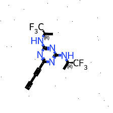 C#CC#Cc1nc(N[C@H](C)C(F)(F)F)nc(N[C@H](C)C(F)(F)F)n1